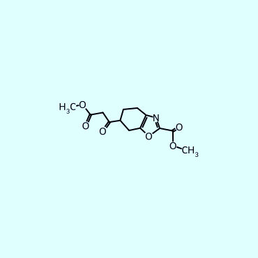 COC(=O)CC(=O)C1CCc2nc(C(=O)OC)oc2C1